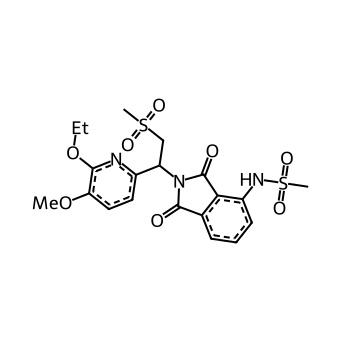 CCOc1nc(C(CS(C)(=O)=O)N2C(=O)c3cccc(NS(C)(=O)=O)c3C2=O)ccc1OC